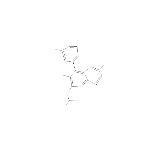 CC(C)c1cccc(-c2c(C(=O)O)c(OC(C)C(F)(F)F)nc3ccc(Cl)cc23)c1